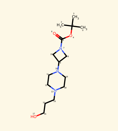 CC(C)(C)OC(=O)N1CC(N2CCN(CCCO)CC2)C1